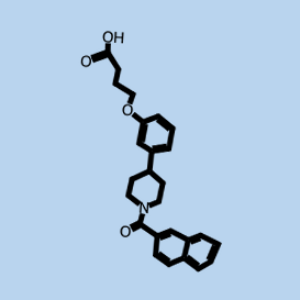 O=C(O)CCCOc1cccc(C2CCN(C(=O)c3ccc4ccccc4c3)CC2)c1